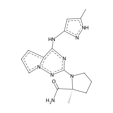 Cc1cc(Nc2nc(N3CCC[C@@]3(C)C(N)=O)nn3cccc23)n[nH]1